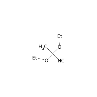 [C-]#[N+]C(C)(OCC)OCC